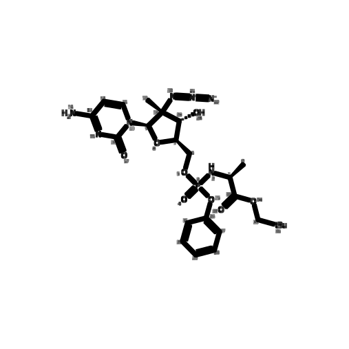 C[C@H](NP(=O)(OC[C@H]1O[C@@H](n2ccc(N)nc2=O)[C@](C)(N=[N+]=[N-])[C@@H]1O)Oc1ccccc1)C(=O)OCC(C)(C)C